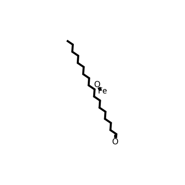 CCCCCCCCCCCCCCCCCC=O.[O]=[Fe]